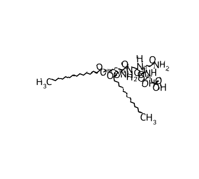 CCCCCCCCCCCCCCCC(=O)OC[C@H](CSC[C@H](N)C(=O)NCC(=O)N[C@@H](CCC(N)=O)C(=O)N[C@H](CCC(=O)O)C(=O)O)OC(=O)CCCCCCCCCCCCCCC